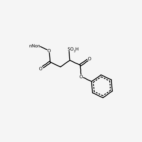 CCCCCCCCCOC(=O)CC(C(=O)Oc1ccccc1)S(=O)(=O)O